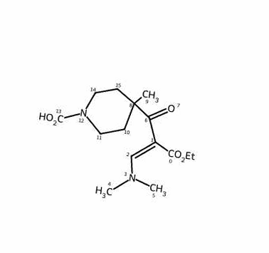 CCOC(=O)C(=CN(C)C)C(=O)C1(C)CCN(C(=O)O)CC1